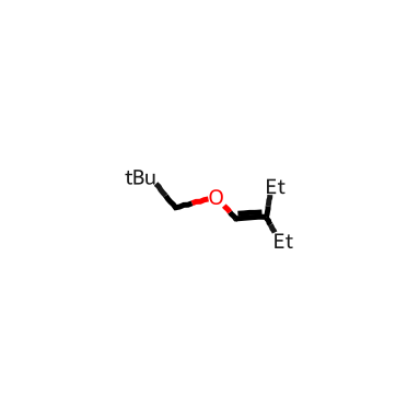 CCC(=COCC(C)(C)C)CC